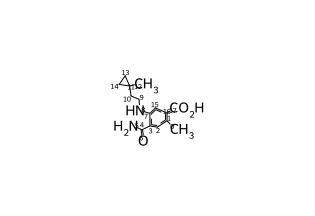 Cc1cc(C(N)=O)c(NCCC2(C)CC2)cc1C(=O)O